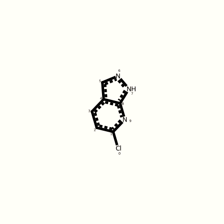 Clc1ccc2cn[nH]c2n1